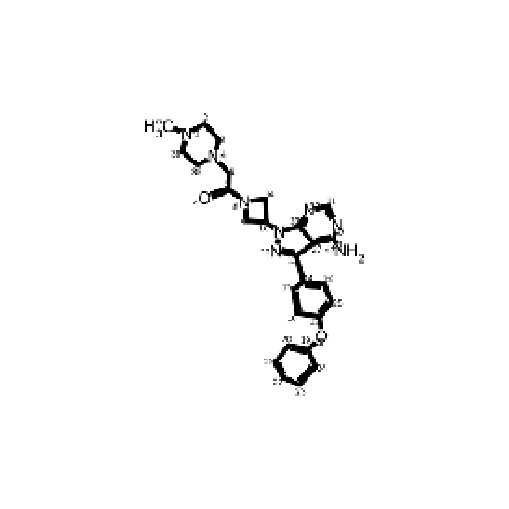 CN1CCN(CC(=O)N2CC(n3nc(-c4ccc(Oc5ccccc5)cc4)c4c(N)ncnc43)C2)CC1